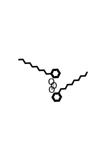 CCCCCCCCCc1ccccc1OOOc1ccccc1CCCCCCCCC